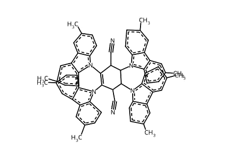 Cc1ccc2c(c1)c1cc(C)ccc1n2C1=C(n2c3ccc(C)cc3c3cc(C)ccc32)C(C#N)C(n2c3ccc(C)cc3c3cc(C)ccc32)C(n2c3ccc(C)cc3c3cc(C)ccc32)C1C#N